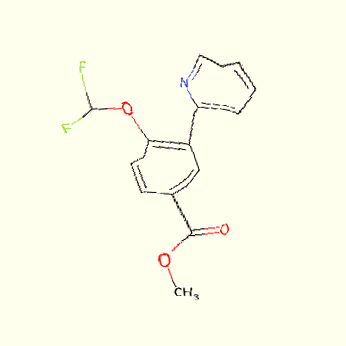 COC(=O)c1ccc(OC(F)F)c(-c2ccccn2)c1